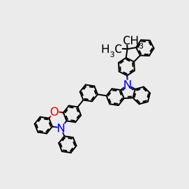 CC1(C)c2ccccc2-c2cc(-n3c4ccccc4c4ccc(-c5cccc(-c6ccc7c(c6)Oc6ccccc6N7c6ccccc6)c5)cc43)ccc21